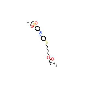 C=CC(=O)OCCCCCCSc1ccc(N=Nc2ccc(S(C)(=O)=O)cc2)cc1